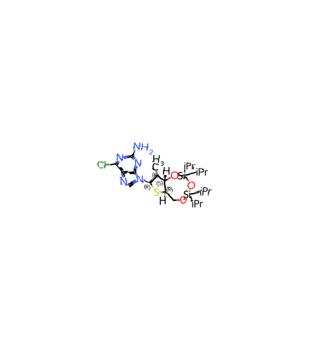 CC(C)[Si]1(C(C)C)OC[C@H]2S[C@@H](n3cnc4c(Cl)nc(N)nc43)[C@H](C)[C@@H]2O[Si](C(C)C)(C(C)C)O1